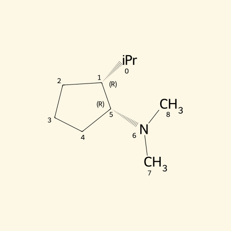 CC(C)[C@H]1CCC[C@H]1N(C)C